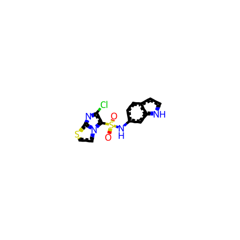 O=S(=O)(Nc1ccc2cc[nH]c2c1)c1c(Cl)nc2sccn12